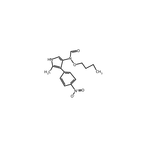 CCCCON(C=O)c1c[nH]c(C)c1-c1ccc([N+](=O)[O-])cc1